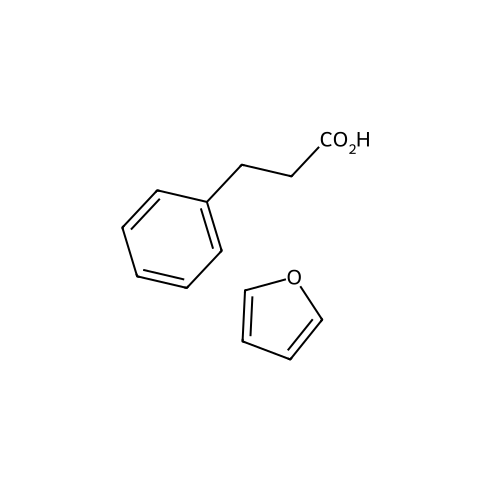 O=C(O)CCc1ccccc1.c1ccoc1